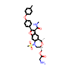 CNC(=O)c1c(-c2ccc(Oc3ccc(C)cc3)cc2)oc2cc3c(cc12)[C@H](C)O[C@H](COC(=O)CN)CN3S(C)(=O)=O